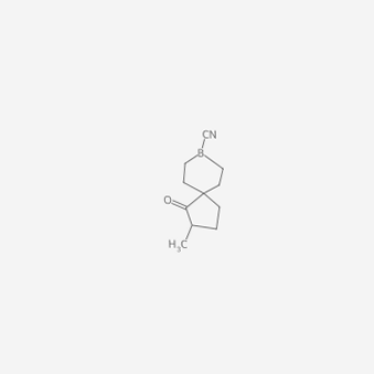 CC1CCC2(CCB(C#N)CC2)C1=O